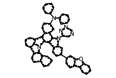 c1ccc(N(c2ccccc2)c2ccc3c(c2)c2c(c4ccc(-c5ccc6c(c5)oc5ccccc56)cc4n2-c2cncnn2)c2c3c3cccc4c5ccc6ccccc6c5n2c43)cc1